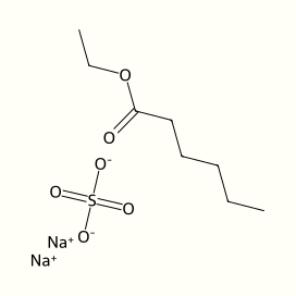 CCCCCC(=O)OCC.O=S(=O)([O-])[O-].[Na+].[Na+]